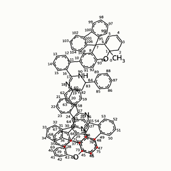 CC12CC=CC=C1C1(c3cc(-c4ccccc4C4=NC(c5cccc(-c6cccc7c6-c6ccccc6C76c7ccccc7Oc7ccc(-c8ccccc8-c8nc(-c9ccccc9)cc(-c9ccccc9-c9ccccc9)n8)cc76)c5)=CC(c5ccccc5)N4)ccc3O2)c2ccccc2-c2ccccc21